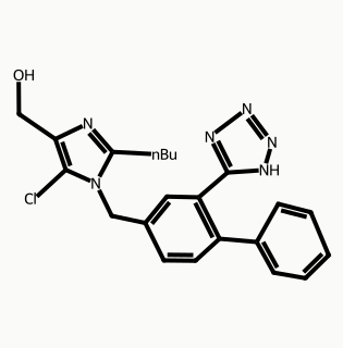 CCCCc1nc(CO)c(Cl)n1Cc1ccc(-c2ccccc2)c(-c2nnn[nH]2)c1